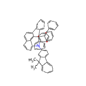 CC1(C)c2ccccc2-c2ccc(N(c3ccc(-c4ccccc4)cc3)c3cccc4ccc5c(c34)C(c3ccccc3)(c3ccccc3)c3ccccc3-5)cc21